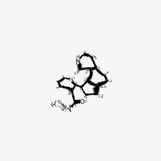 NC(=O)c1cccnc1C1CCc2ccc3ccncc3c21